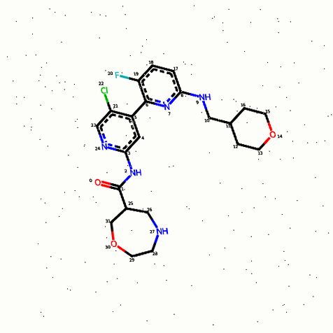 O=C(Nc1cc(-c2nc(NCC3CCOCC3)ccc2F)c(Cl)cn1)C1CNCCOC1